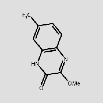 COc1nc2ccc(C(F)(F)F)cc2[nH]c1=O